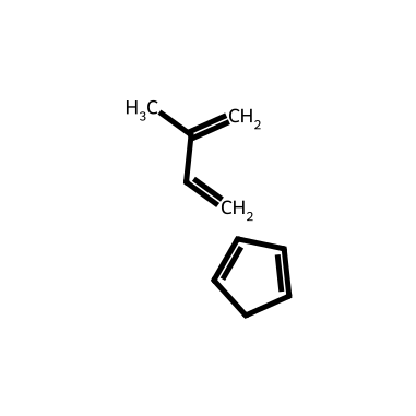 C1=CCC=C1.C=CC(=C)C